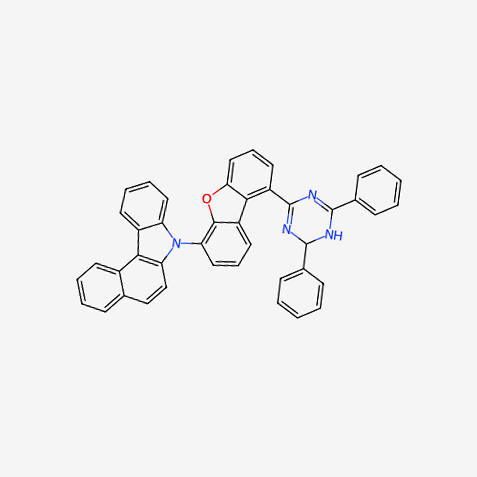 c1ccc(C2=NC(c3cccc4oc5c(-n6c7ccccc7c7c8ccccc8ccc76)cccc5c34)=NC(c3ccccc3)N2)cc1